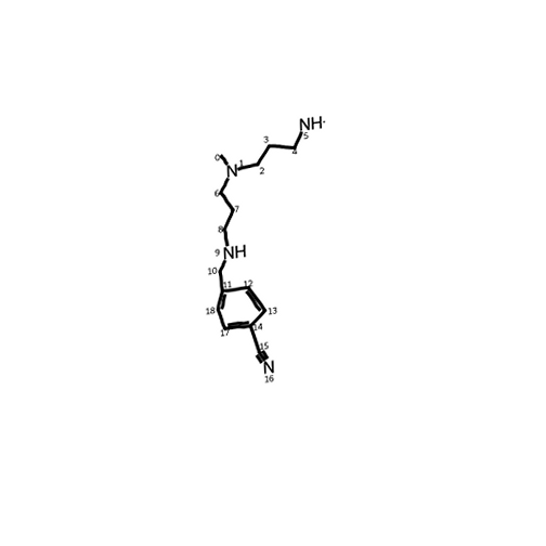 CN(CCC[NH])CCCNCc1ccc(C#N)cc1